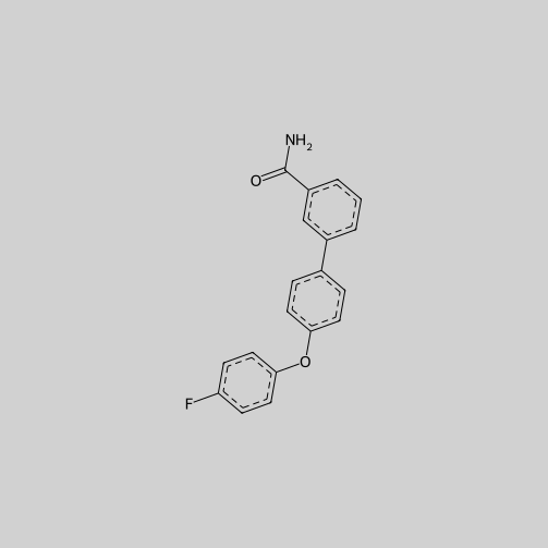 NC(=O)c1cccc(-c2ccc(Oc3ccc(F)cc3)cc2)c1